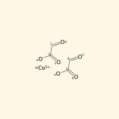 O=CC(=O)[O-].O=CC(=O)[O-].[Co+2]